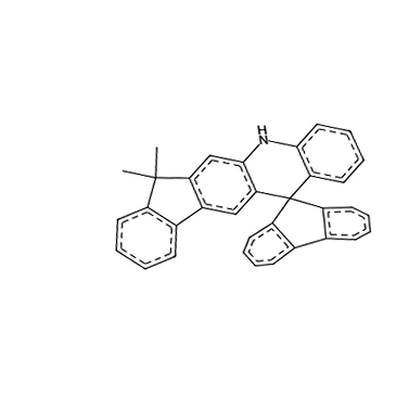 CC1(C)c2ccccc2-c2cc3c(cc21)Nc1ccccc1C31c2ccccc2-c2ccccc21